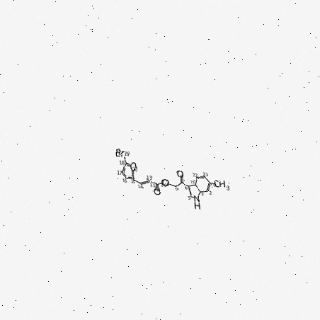 CC1=CC2NC=C(C(=O)COC(=O)/C=C/c3ccc(Br)o3)C2C=C1